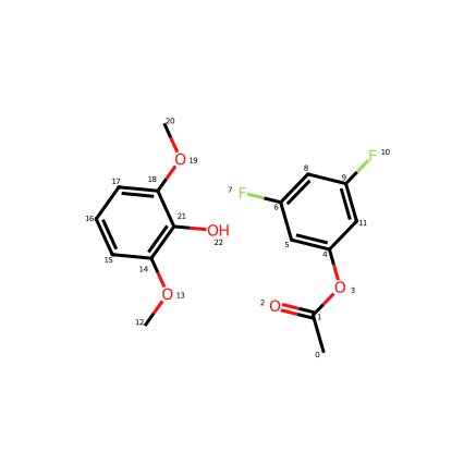 CC(=O)Oc1cc(F)cc(F)c1.COc1cccc(OC)c1O